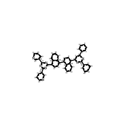 c1ccc(-c2cc(-c3ccc(-c4ccc(-c5nc(-c6cccnc6)nc(-c6cccnc6)n5)c5ccccc45)c4ccccc34)nc(-c3ccccc3)n2)cc1